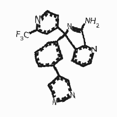 NC1=NC(c2cccc(-c3cncnc3)c2)(c2ccnc(C(F)(F)F)c2)c2cccnc21